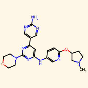 CN1CCC(Oc2ccc(Nc3cc(-c4cnc(N)nc4)nc(N4CCOCC4)n3)cn2)C1